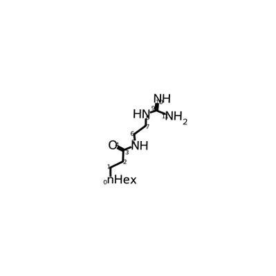 CCCCCCCCC(=O)NCCNC(=N)N